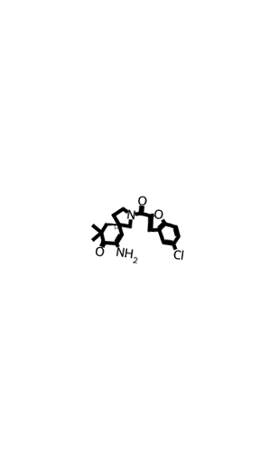 CC1(C)C[C@@]2(C=C(N)C1=O)CCN(C(=O)c1cc3cc(Cl)ccc3o1)C2